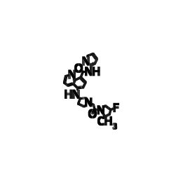 C[C@@H]1C[C@H](F)CN1C(=O)CN1CC[C@H](Nc2ccc(C(=O)Nc3ccccn3)c3ncccc23)C1